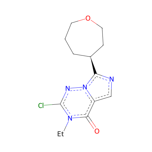 CCn1c(Cl)nn2c([C@H]3CCCOCC3)ncc2c1=O